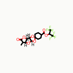 CC1C(=O)O[C@@H]2[C@H]3OC4(CCC(C(=O)OC(C(F)(F)F)C(F)(F)F)CC4)O[C@H]3O[C@H]12